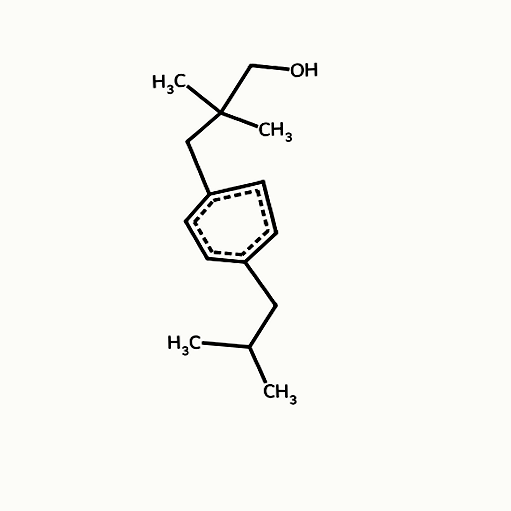 CC(C)Cc1ccc(CC(C)(C)CO)cc1